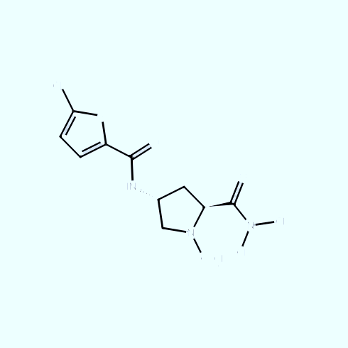 CN(C)C(=O)[C@@H]1C[C@@H](NC(=O)c2ccc(Cl)s2)CN1C(=O)O